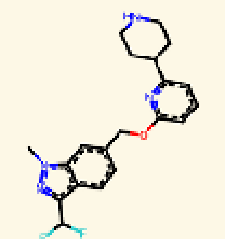 Cn1nc(C(F)F)c2ccc(COc3cccc(C4CCNCC4)n3)cc21